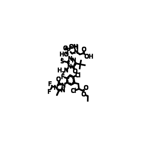 CCOC(=O)C(Cl)Cc1cc(-n2nc(C)n(C(F)F)c2=O)c(F)cc1Cl.CSc1nnc(C(C)(C)C)c(=O)n1N.O=C(O)CNCP(=O)(O)O